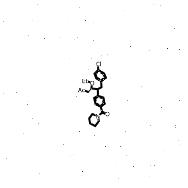 CCO[C@H](CC(C)=O)C(Cc1ccc(Cl)cc1)c1ccc(C(=O)N2CCCCC2)cc1